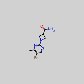 Cc1nc(N2CC(C(N)=O)C2)ncc1Br